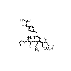 C=C(Cl)/C(CC(=O)O)=C(\N=C(/N)Cc1ccc(NC(=O)C(C)C)cc1)N(C)CC(=O)NC1CCCC1